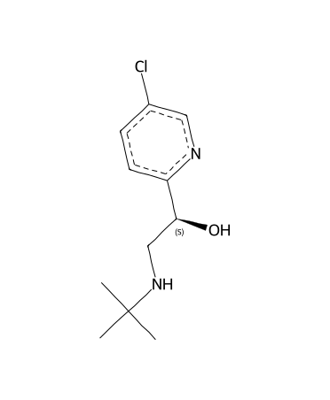 CC(C)(C)NC[C@H](O)c1ccc(Cl)cn1